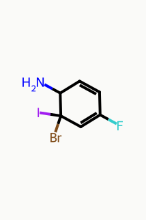 NC1C=CC(F)=CC1(Br)I